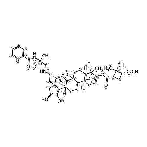 CC(C)C1=C2[C@H]3CC[C@@H]4[C@@]5(C)CC[C@H](OC(=O)[C@H]6C[C@@H](C(=O)O)C6(C)C)C(C)(C)[C@@H]5CC[C@@]4(C)[C@]3(C)CC[C@@]2(CCNCC(C)(C)NC(=O)c2ccccn2)CC1=O